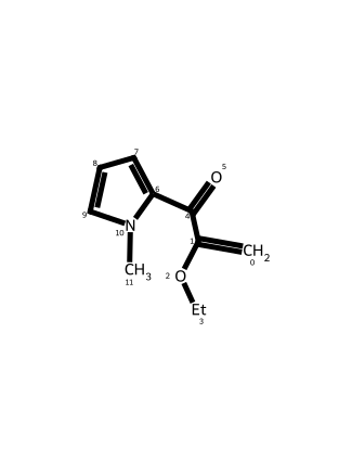 C=C(OCC)C(=O)c1cccn1C